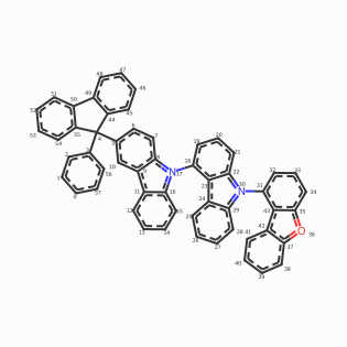 c1ccc(C2(c3ccc4c(c3)c3ccccc3n4-c3cccc4c3c3ccccc3n4-c3cccc4oc5ccccc5c34)c3ccccc3-c3ccccc32)cc1